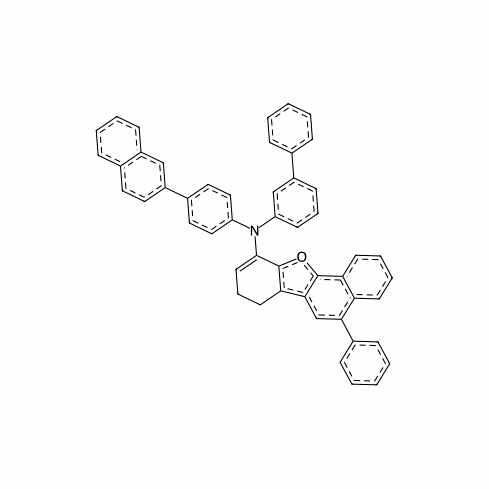 C1=C(N(c2ccc(-c3ccc4ccccc4c3)cc2)c2cccc(-c3ccccc3)c2)c2oc3c(cc(-c4ccccc4)c4ccccc43)c2CC1